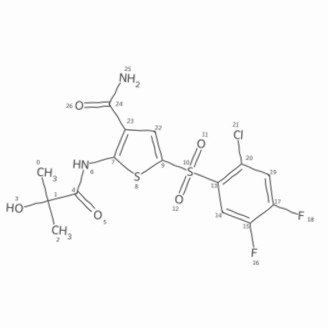 CC(C)(O)C(=O)Nc1sc(S(=O)(=O)c2cc(F)c(F)cc2Cl)cc1C(N)=O